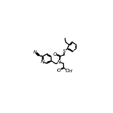 CCc1ccccc1SCC(=O)N(CC(=O)O)Cc1ccc(C#N)nc1